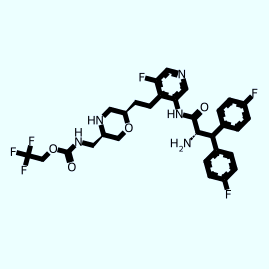 N[C@H](C(=O)Nc1cncc(F)c1CC[C@@H]1CN[C@H](CNC(=O)OCC(F)(F)F)CO1)C(c1ccc(F)cc1)c1ccc(F)cc1